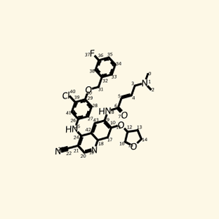 CN(C)C/C=C/C(=O)NC1=C(OC2CCOC2)CC2N=CC(C#N)=C(Nc3ccc(OCc4cccc(F)c4)c(Cl)c3)C2=C1